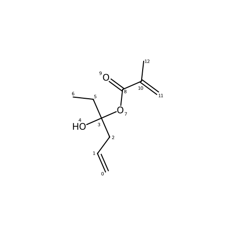 C=CCC(O)(CC)OC(=O)C(=C)C